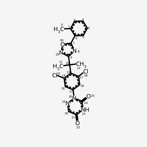 Cc1ccccc1-c1nc(C(C)(C)c2c(Cl)cc(-n3ncc(=O)[nH]c3=O)cc2Cl)no1